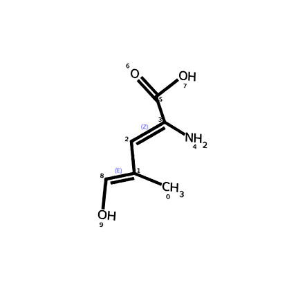 CC(/C=C(\N)C(=O)O)=C\O